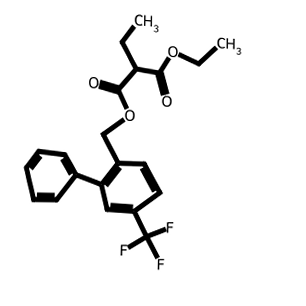 CCOC(=O)C(CC)C(=O)OCc1ccc(C(F)(F)F)cc1-c1ccccc1